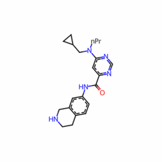 CCCN(CC1CC1)c1cc(C(=O)Nc2ccc3c(c2)CNCC3)ncn1